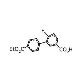 CCOC(=O)c1ccc(-c2cc(C(=O)O)ccc2F)cc1